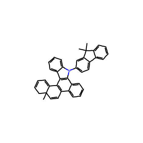 CC12C=Cc3c(c4c5ccccc5n(-c5ccc6c(c5)C(C)(C)c5ccccc5-6)c4c4ccccc34)C1=CC=CC2